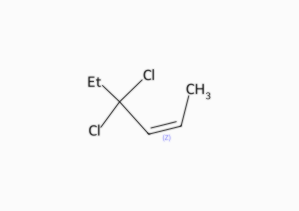 C/C=C\C(Cl)(Cl)CC